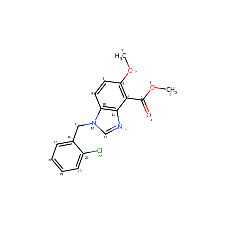 COC(=O)c1c(OC)ccc2c1ncn2Cc1ccccc1Cl